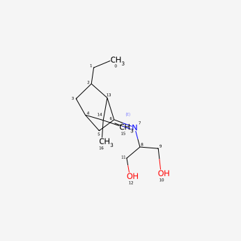 CCC1CC2C/C(=N\C(CO)CO)C1C2(C)C